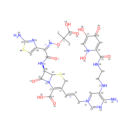 CC(C)(O/N=C(\C(=O)N[C@@H]1C(=O)N2C(C(=O)O)=C(/C=C/C[n+]3cnc(N)c(NCCNC(=O)c4cc(=O)c(O)cn4O)c3)CSC12)c1csc(N)n1)C(=O)O